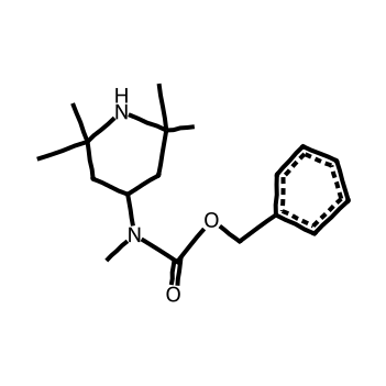 CN(C(=O)OCc1ccccc1)C1CC(C)(C)NC(C)(C)C1